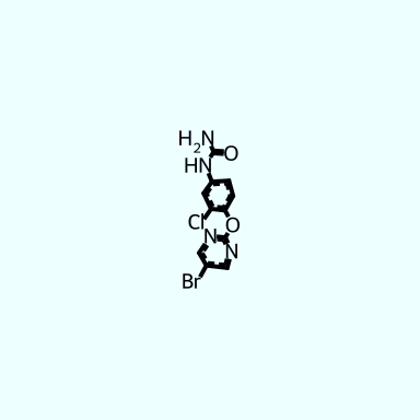 NC(=O)Nc1ccc(Oc2ncc(Br)cn2)c(Cl)c1